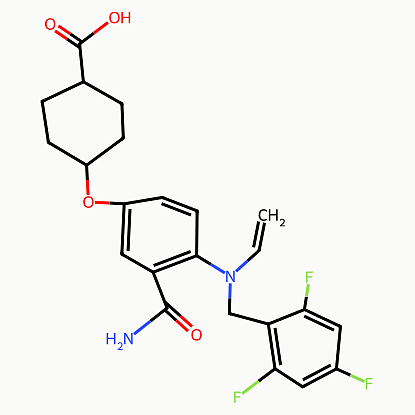 C=CN(Cc1c(F)cc(F)cc1F)c1ccc(OC2CCC(C(=O)O)CC2)cc1C(N)=O